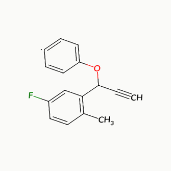 C#CC(Oc1cc[c]cc1)c1cc(F)ccc1C